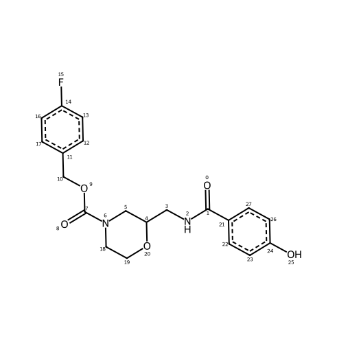 O=C(NCC1CN(C(=O)OCc2ccc(F)cc2)CCO1)c1ccc(O)cc1